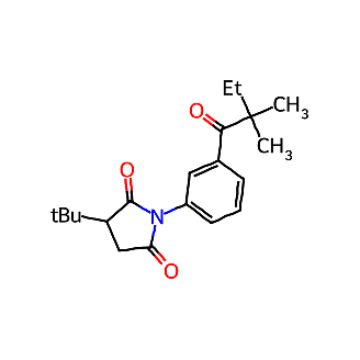 CCC(C)(C)C(=O)c1cccc(N2C(=O)CC(C(C)(C)C)C2=O)c1